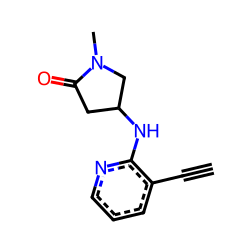 C#Cc1cccnc1NC1CC(=O)N(C)C1